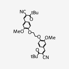 COc1cc(C=C(C#N)C(=O)C(C)(C)C)ccc1OCCOc1ccc(C=C(C#N)C(=O)C(C)(C)C)cc1OC